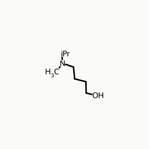 CC(C)N(C)CCCCO